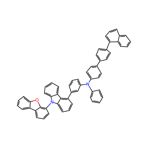 c1ccc(N(c2ccc(-c3ccc(-c4cccc5ccccc45)cc3)cc2)c2cccc(-c3cccc4c3c3ccccc3n4-c3cccc4c3oc3ccccc34)c2)cc1